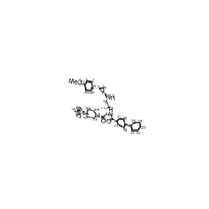 COc1ccc([C@@H]2CC2NCCC[C@H](NC(=O)c2ccc(-c3ccccc3)cc2)C(=O)N2CCN(S(C)(=O)=O)CC2)cc1